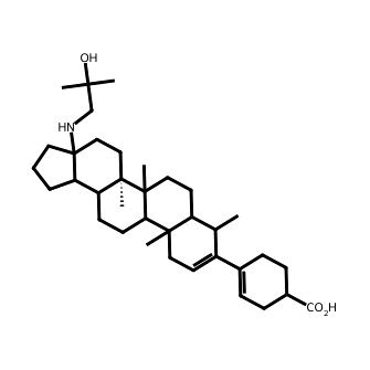 CC1C(C2=CCC(C(=O)O)CC2)=CCC2(C)C1CCC1(C)C2CCC2C3CCCC3(NCC(C)(C)O)CC[C@]21C